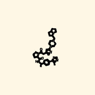 Cc1ncsc1-c1ccc(C(C)NC(=O)C2CCCN2C(=O)Cc2cc(N3CCN(CC4CCC5CCCN54)CC3)no2)cc1